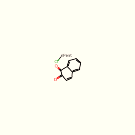 CCCCCCl.O=C1C=Cc2ccccc2C1=O